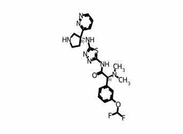 CN(C)[C@H](C(=O)Nc1nnc(N[C@]2(c3cccnn3)CCNC2)s1)c1cccc(OC(F)F)c1